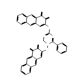 O=C1C(=O)c2cc3ccccc3cc2C=C1NC1=NCN(NC2=Cc3cc4ccccc4cc3C(=O)C2=O)C(c2ccccc2)=N1